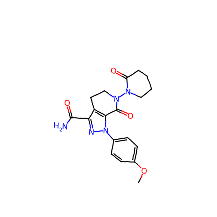 COc1ccc(-n2nc(C(N)=O)c3c2C(=O)N(N2CCCCC2=O)CC3)cc1